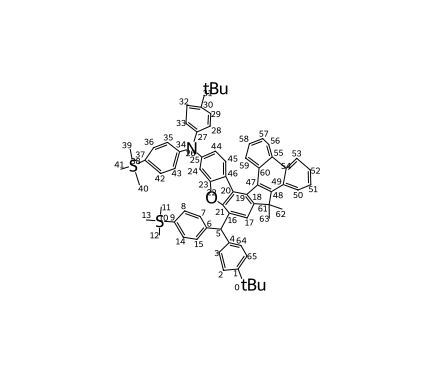 CC(C)(C)c1ccc(C(c2ccc(S(C)(C)C)cc2)c2cc3c(c4c2oc2cc(N(c5ccc(C(C)(C)C)cc5)c5ccc(S(C)(C)C)cc5)ccc24)-c2c(c4ccccc4c4ccccc24)C3(C)C)cc1